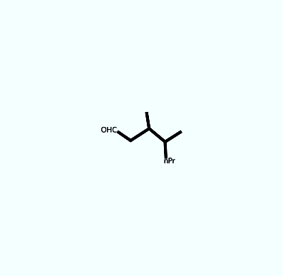 CCCC(C)C(C)CC=O